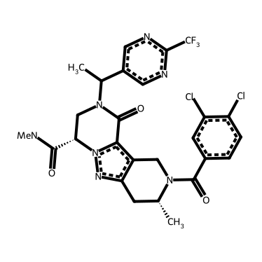 CNC(=O)[C@@H]1CN(C(C)c2cnc(C(F)(F)F)nc2)C(=O)c2c3c(nn21)C[C@@H](C)N(C(=O)c1ccc(Cl)c(Cl)c1)C3